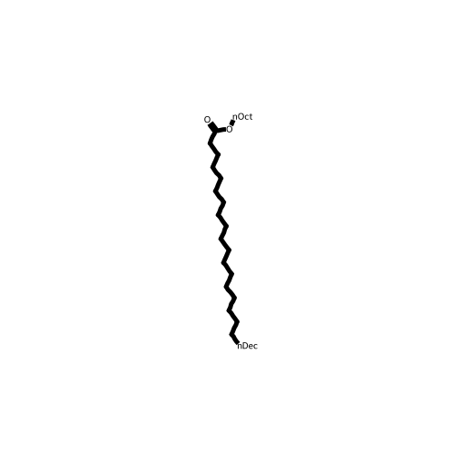 CCCCCCCCCCCCCCCCCCCCCCCCCCCC(=O)OCCCCCCCC